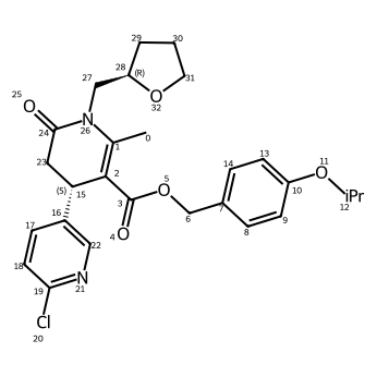 CC1=C(C(=O)OCc2ccc(OC(C)C)cc2)[C@H](c2ccc(Cl)nc2)CC(=O)N1C[C@H]1CCCO1